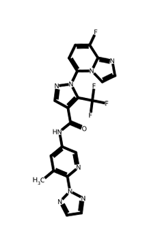 Cc1cc(NC(=O)c2cnn(-c3ccc(F)c4nccn34)c2C(F)(F)F)cnc1-n1nccn1